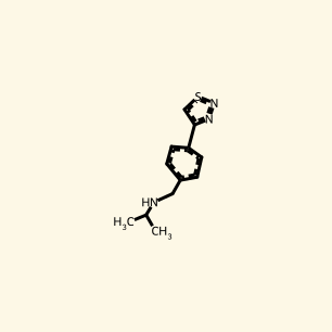 CC(C)NCc1ccc(-c2csnn2)cc1